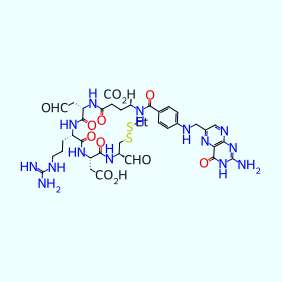 CCSSC[C@@H](C=O)NC(=O)[C@H](CC(=O)O)NC(=O)[C@H](CCCNC(=N)N)NC(=O)[C@H](CC=O)NC(=O)CC[C@H](NC(=O)c1ccc(NCc2cnc3nc(N)[nH]c(=O)c3n2)cc1)C(=O)O